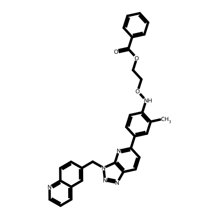 Cc1cc(-c2ccc3nnn(Cc4ccc5ncccc5c4)c3n2)ccc1NOCCOC(=O)c1ccccc1